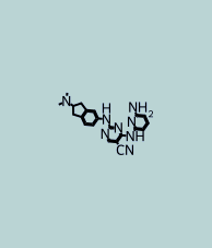 CN(C)C1Cc2ccc(Nc3ncc(C#N)c(Nc4cccc(N)n4)n3)cc2C1